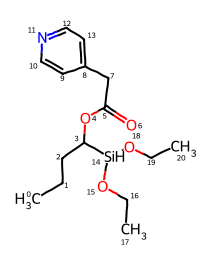 CCCC(OC(=O)Cc1ccncc1)[SiH](OCC)OCC